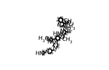 COc1cc(N2CCN(CC3CCN(C4CNC4)CC3)CC2)c(-c2cnn(C)c2)cc1Nc1ncc(Br)c(Nc2cnc3ccccc3c2P(C)(C)=O)n1